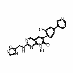 CCn1c(=O)c(-c2ccc(-c3cccnc3)cc2Cl)cc2cnc(NCc3ncno3)nc21